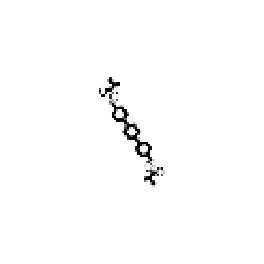 C=C(C)C(=O)OCC1CCC(C2CCC(C3CCC(COC(=O)C(=C)C)CC3)CC2)CC1